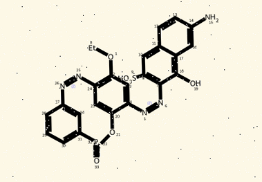 CCOc1cc(/N=N\c2c(S(=O)(=O)O)cc3ccc(N)cc3c2O)c(OCC)cc1/N=N\c1cccc(P=O)c1